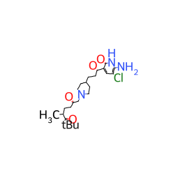 CC(CCC(=O)CN1CCC(CCC(=O)c2cc(Cl)c(N)[nH]c2=O)CC1)C(=O)C(C)(C)C